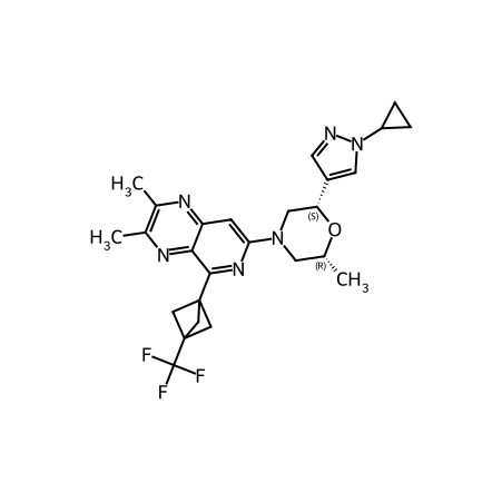 Cc1nc2cc(N3C[C@@H](C)O[C@@H](c4cnn(C5CC5)c4)C3)nc(C34CC(C(F)(F)F)(C3)C4)c2nc1C